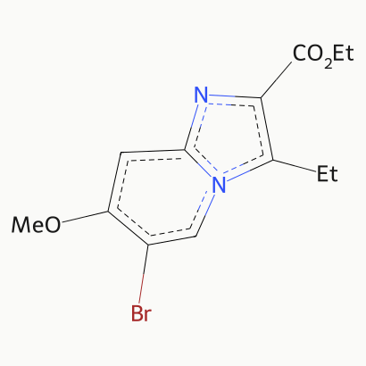 CCOC(=O)c1nc2cc(OC)c(Br)cn2c1CC